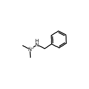 C[N+](C)NCc1ccccc1